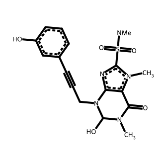 CNS(=O)(=O)c1nc2c(n1C)C(=O)N(C)C(O)N2CC#Cc1cccc(O)c1